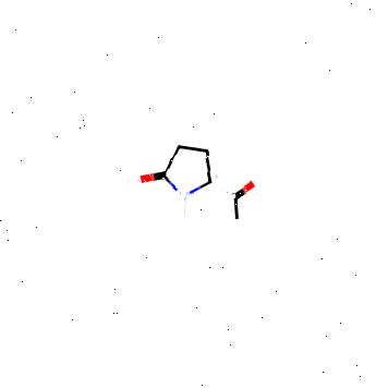 CC(=O)[C@H]1CCC(=O)N1